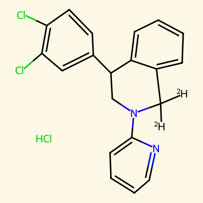 Cl.[2H]C1([2H])c2ccccc2C(c2ccc(Cl)c(Cl)c2)CN1c1ccccn1